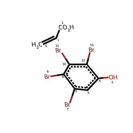 C=CC(=O)O.Oc1cc(Br)c(Br)c(Br)c1Br